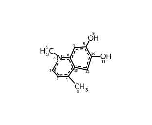 Cc1cc[n+](C)c2cc(O)c(O)cc12